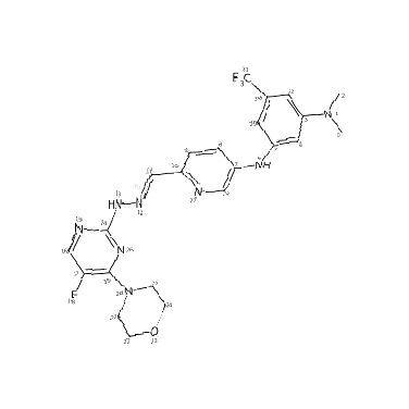 CN(C)c1cc(Nc2ccc(/C=N/Nc3ncc(F)c(N4CCOCC4)n3)nc2)cc(C(F)(F)F)c1